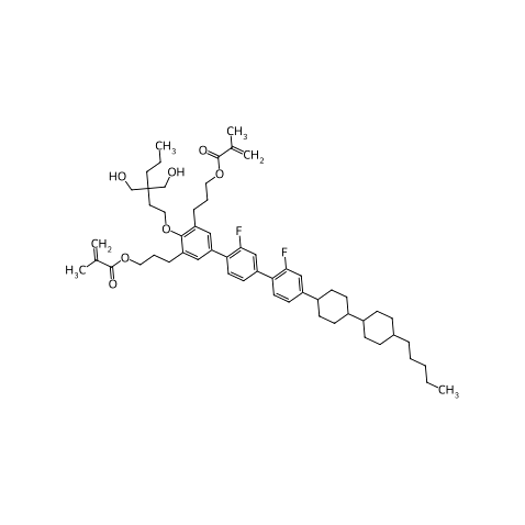 C=C(C)C(=O)OCCCc1cc(-c2ccc(-c3ccc(C4CCC(C5CCC(CCCCC)CC5)CC4)cc3F)cc2F)cc(CCCOC(=O)C(=C)C)c1OCCC(CO)(CO)CCC